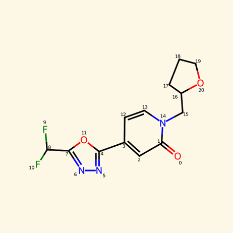 O=c1cc(-c2nnc(C(F)F)o2)ccn1CC1CCCO1